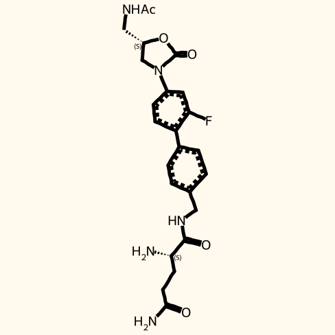 CC(=O)NC[C@H]1CN(c2ccc(-c3ccc(CNC(=O)[C@@H](N)CCC(N)=O)cc3)c(F)c2)C(=O)O1